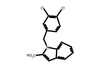 O=C(O)c1cc2ccccc2n1Cc1ccc(Cl)c(Cl)c1